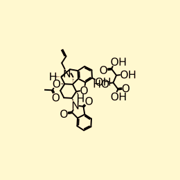 C=CCN1CC[C@]23c4c5ccc(O)c4O[C@H]2[C@H](N2C(=O)c4ccccc4C2=O)CC[C@@]3(OC(C)=O)[C@H]1C5.O=C(O)C(O)C(O)C(=O)O